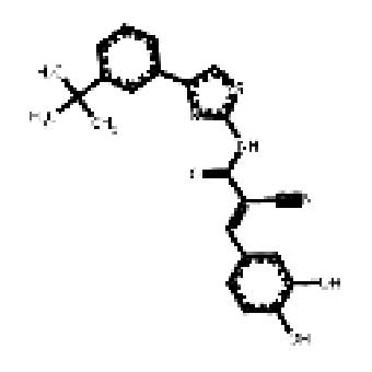 CC(C)(C)c1cccc(-c2csc(NC(=O)/C(C#N)=C/c3ccc(O)c(O)c3)n2)c1